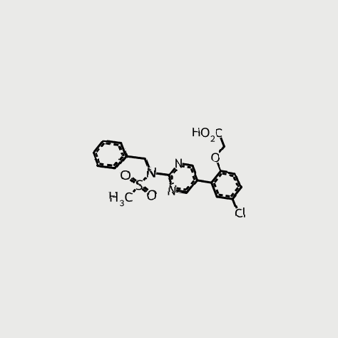 CS(=O)(=O)N(Cc1ccccc1)c1ncc(-c2cc(Cl)ccc2OCC(=O)O)cn1